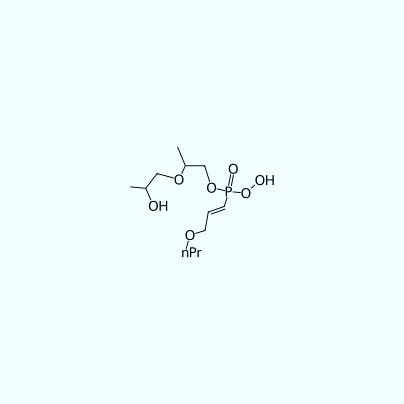 CCCOCC=CP(=O)(OO)OCC(C)OCC(C)O